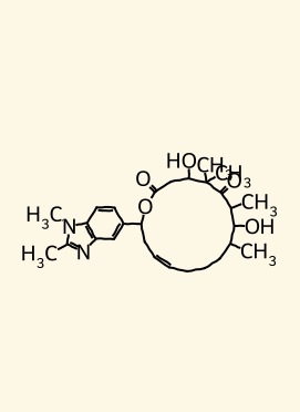 Cc1nc2cc(C3CC=CCCCC(C)C(O)C(C)C(=O)C(C)(C)C(O)CC(=O)O3)ccc2n1C